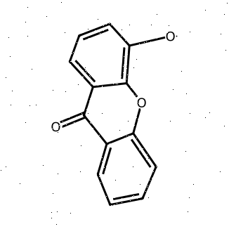 [O]c1cccc2c(=O)c3ccccc3oc12